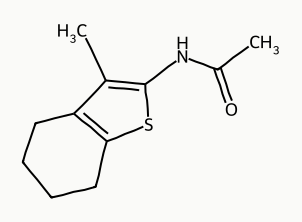 CC(=O)Nc1sc2c(c1C)CCCC2